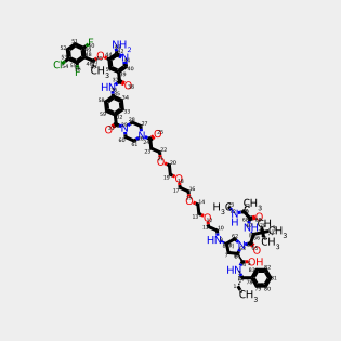 CC[C@H](NC(O)[C@H]1C[C@@H](NCCOCCOCCOCCOCCC(=O)N2CCN(C(=O)c3ccc(NC(=O)c4cnc(N)c(O[C@H](C)c5c(F)ccc(Cl)c5F)c4)cc3)CC2)CN1C(=O)[C@H](NC(=O)[C@@H](C)NC)C(C)(C)C)c1ccccc1